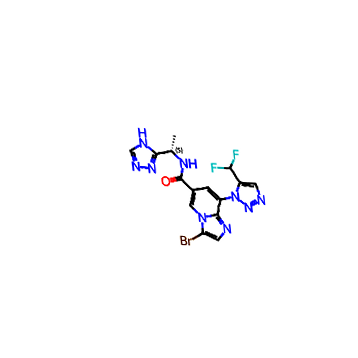 C[C@H](NC(=O)c1cc(-n2nncc2C(F)F)c2ncc(Br)n2c1)c1nnc[nH]1